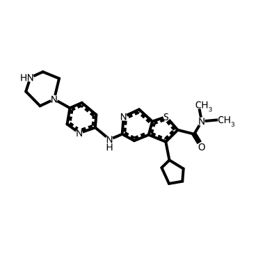 CN(C)C(=O)c1sc2cnc(Nc3ccc(N4CCNCC4)cn3)cc2c1C1CCCC1